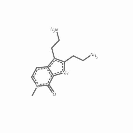 Cn1ccc2c(CCN)c(CCN)[nH]c2c1=O